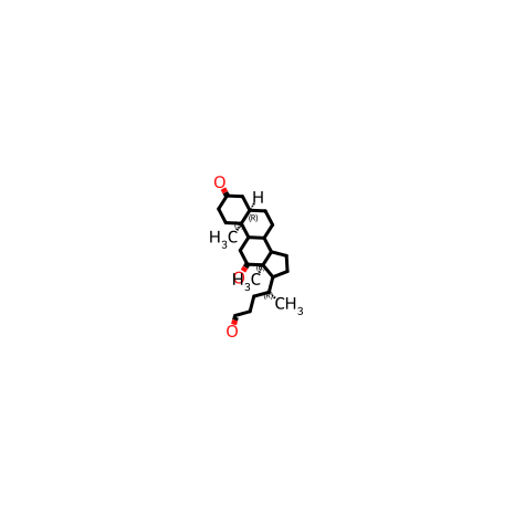 C[C@H](CCC=O)C1CCC2C3CC[C@@H]4CC(=O)CC[C@]4(C)C3CC(=O)[C@@]21C